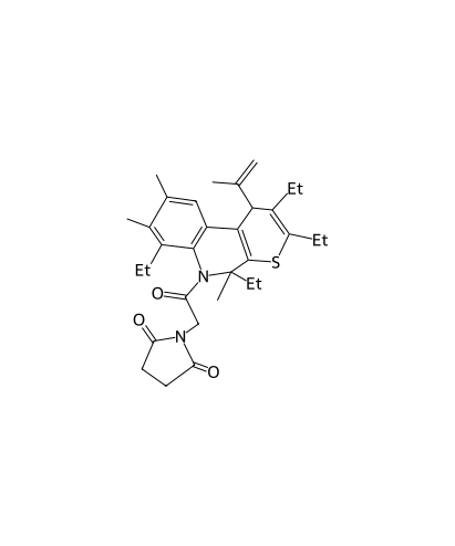 C=C(C)C1C(CC)=C(CC)SC2=C1c1cc(C)c(C)c(CC)c1N(C(=O)CN1C(=O)CCC1=O)C2(C)CC